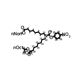 CCCCCCCCCOC(=O)CCCCCCCN(CCCCCCCC(=O)OC(CCCCCCCC)CCCCCCCC)C(=O)Oc1ccc([N+](=O)[O-])cc1